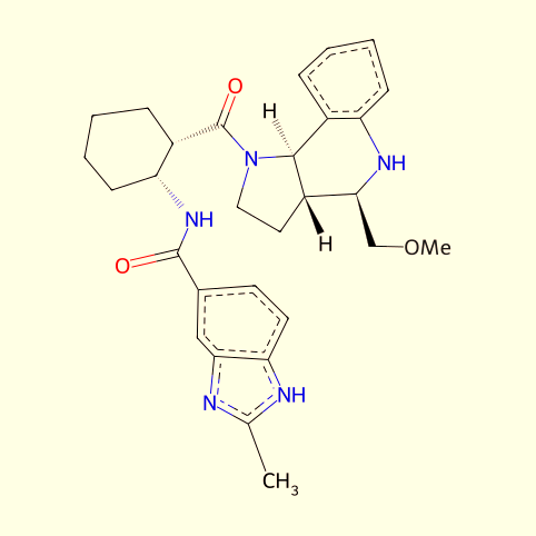 COC[C@@H]1Nc2ccccc2[C@H]2[C@H]1CCN2C(=O)[C@H]1CCCC[C@H]1NC(=O)c1ccc2[nH]c(C)nc2c1